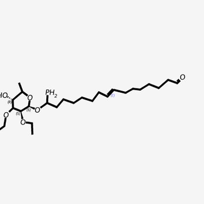 CCOC1[C@H](O)C(C)O[C@@H](OC(P)CCCCCC/C=C/CCCCCCC=O)[C@H]1OCC